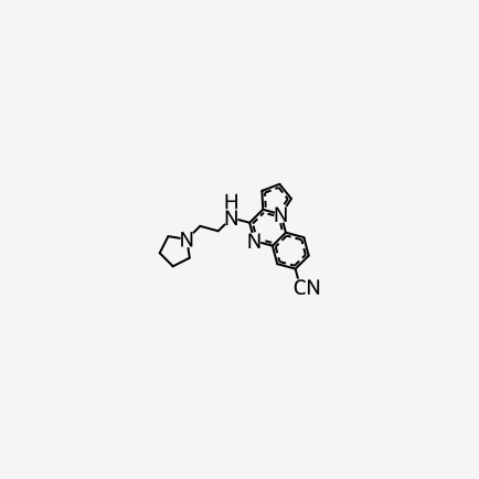 N#Cc1ccc2c(c1)nc(NCCN1CCCC1)c1cccn12